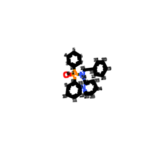 O=P(c1ccccc1)(c1ccccc1)N(Cc1ccccc1)c1ccccn1